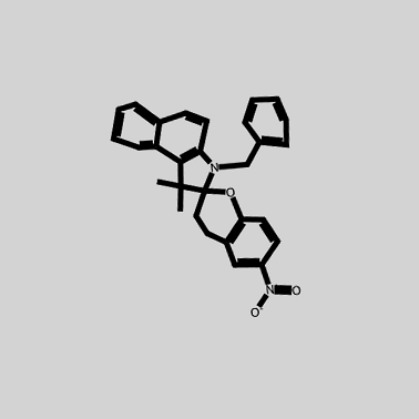 CC1(C)c2c(ccc3ccccc23)N(Cc2ccccc2)C12CCc1cc([N+](=O)[O-])ccc1O2